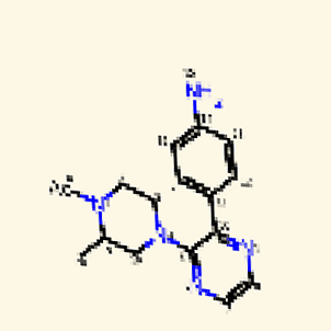 CC(=O)N1CCN(c2nccnc2-c2ccc(N)cc2)CC1C